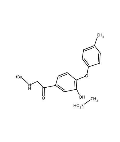 CS(=O)(=O)O.Cc1ccc(Oc2ccc(C(=O)CNC(C)(C)C)cc2O)cc1